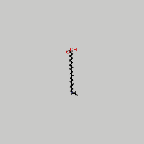 CC/C=C\CC=CCC=CCC=CCC=CCCCCCC(=O)O